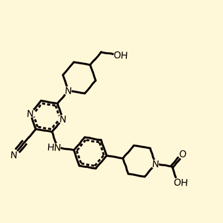 N#Cc1ncc(N2CCC(CO)CC2)nc1Nc1ccc(C2CCN(C(=O)O)CC2)cc1